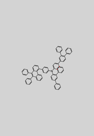 c1ccc(-c2ccc(N(c3ccc(-c4ccc(-c5ccccc5)c(-c5ccccc5)c4)cc3)c3ccc(-c4cccc5c(-c6ccccc6)c(-c6ccccc6)c6ccccc6c45)cc3)c(-c3ccccc3)c2)cc1